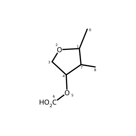 CC1OCC(OC(=O)O)C1C